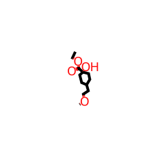 CCOC(=O)C1(O)CCC(CCOC)CC1